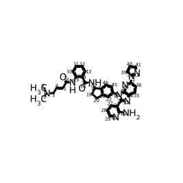 CN(C)C/C=C/C(=O)Nc1ccccc1C(=O)NC1CCc2cc(-n3c(-c4cccnc4N)nc4ccc(-n5cccn5)nc43)ccc21